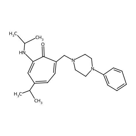 CC(C)Nc1cc(C(C)C)ccc(CN2CCN(c3ccccc3)CC2)c1=O